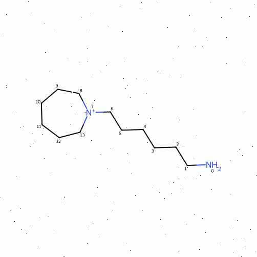 NCCCCCC[N+]1CCCCCC1